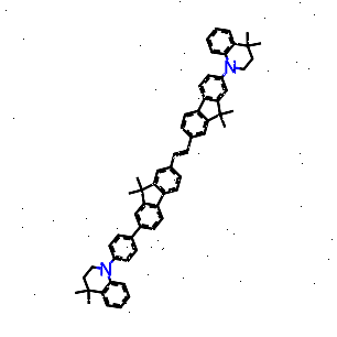 CC1(C)CCN(c2ccc(-c3ccc4c(c3)C(C)(C)c3cc(/C=C/c5ccc6c(c5)C(C)(C)c5cc(N7CCC(C)(C)c8ccccc87)ccc5-6)ccc3-4)cc2)c2ccccc21